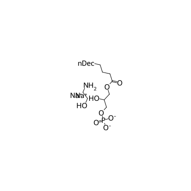 CCCCCCCCCCCCCC(=O)OCC(O)COP(=O)([O-])[O-].NCCO.[Na+].[Na+]